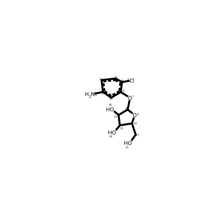 Nc1ccc(Cl)c(OC2OC(CO)C(O)C2O)c1